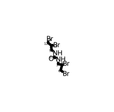 O=C(NCC(Br)CBr)NCC(Br)CBr